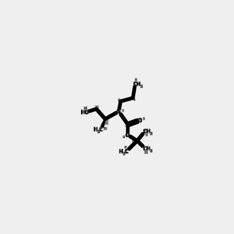 CCCN(C(=O)OC(C)(C)C)[C@@H](C)CO